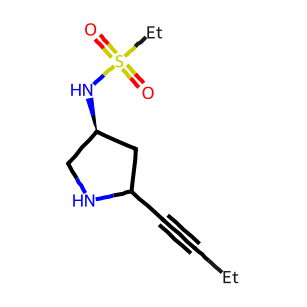 CCC#CC1C[C@H](NS(=O)(=O)CC)CN1